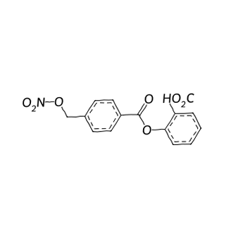 O=C(Oc1ccccc1C(=O)O)c1ccc(CO[N+](=O)[O-])cc1